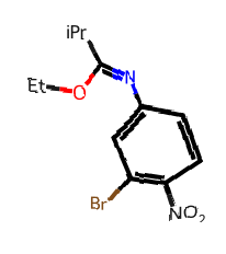 CCO/C(=N\c1ccc([N+](=O)[O-])c(Br)c1)C(C)C